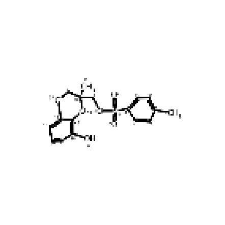 Cc1ccc(S(=O)(=O)OC[C@@]2(C)COc3cccc(O)c3O2)cc1